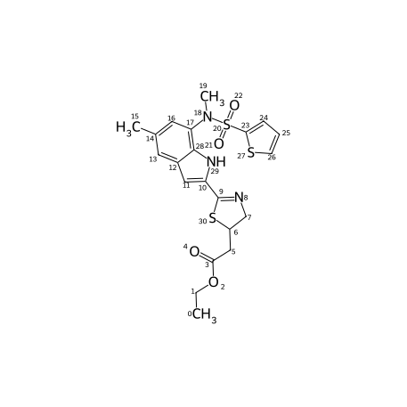 CCOC(=O)CC1CN=C(c2cc3cc(C)cc(N(C)S(=O)(=O)c4cccs4)c3[nH]2)S1